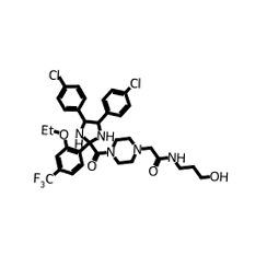 CCOc1cc(C(F)(F)F)ccc1C1(C(=O)N2CCN(CC(=O)NCCCO)CC2)NC(c2ccc(Cl)cc2)C(c2ccc(Cl)cc2)N1